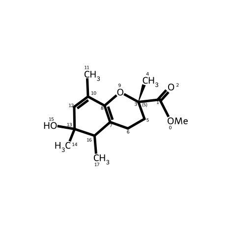 COC(=O)[C@]1(C)CCC2=C(O1)C(C)=CC(C)(O)C2C